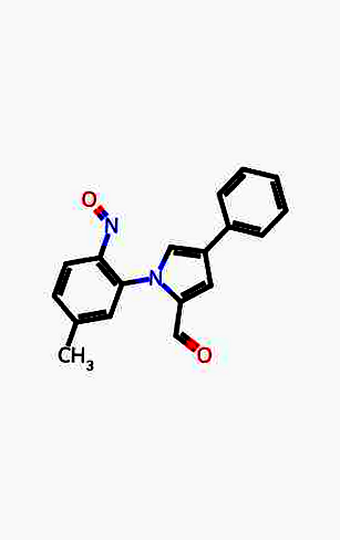 Cc1ccc(N=O)c(-n2cc(-c3ccccc3)cc2C=O)c1